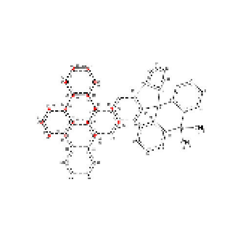 CC1(C)c2ccccc2C2(c3ccccc3-c3cc(N(c4ccccc4-c4ccccc4-c4ccccc4-c4ccccc4)c4cc5ccccc5c5ccccc45)ccc32)c2ccccc21